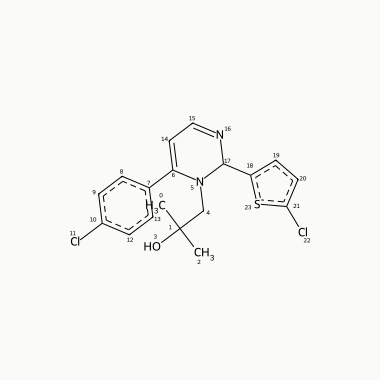 CC(C)(O)CN1C(c2ccc(Cl)cc2)=CC=NC1c1ccc(Cl)s1